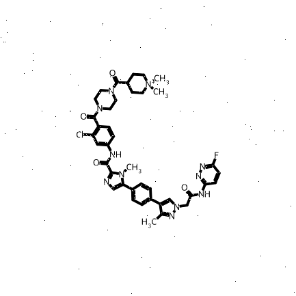 Cc1nn(CC(=O)Nc2ccc(F)nn2)cc1-c1ccc(-c2cnc(C(=O)Nc3ccc(C(=O)N4CCN(C(=O)C5CC[N+](C)(C)CC5)CC4)c(Cl)c3)n2C)cc1